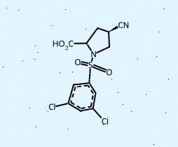 N#C[C@@H]1CC(C(=O)O)N(S(=O)(=O)c2cc(Cl)cc(Cl)c2)C1